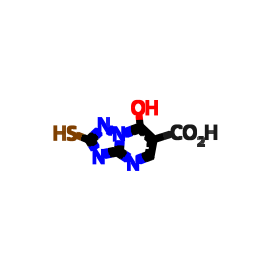 O=C(O)c1cnc2nc(S)nn2c1O